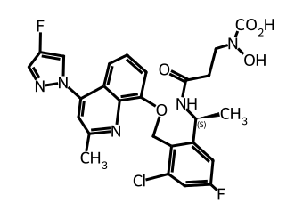 Cc1cc(-n2cc(F)cn2)c2cccc(OCc3c(Cl)cc(F)cc3[C@H](C)NC(=O)CCN(O)C(=O)O)c2n1